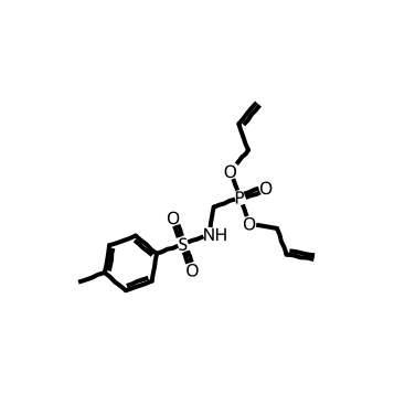 C=CCOP(=O)(CNS(=O)(=O)c1ccc(C)cc1)OCC=C